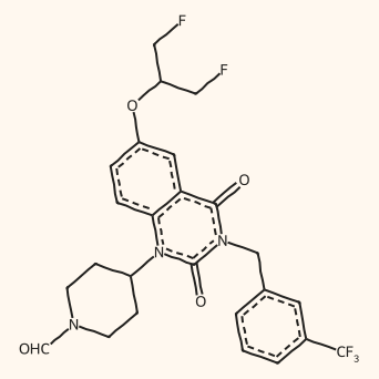 O=CN1CCC(n2c(=O)n(Cc3cccc(C(F)(F)F)c3)c(=O)c3cc(OC(CF)CF)ccc32)CC1